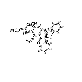 C=C(Nc1c(C)cc(C)c(C(=O)P(=O)(Cc2ccccc2)c2ccccc2)c1C)C(=O)OCC